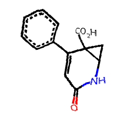 O=C1C=C(c2ccccc2)C2(C(=O)O)CC2N1